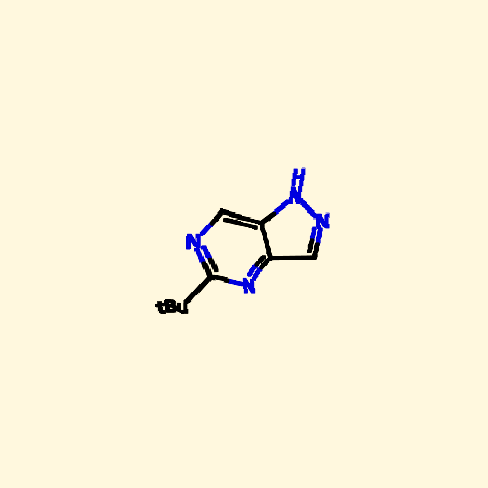 CC(C)(C)c1ncc2[nH]ncc2n1